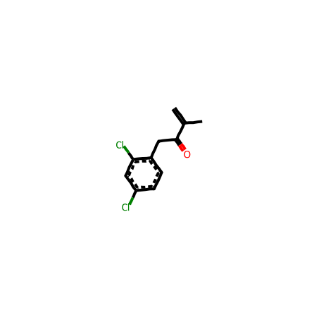 C=C(C)C(=O)Cc1ccc(Cl)cc1Cl